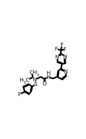 CC(C)N(CC(=O)NCc1ccnc(-c2cnc(C(F)(F)F)nc2)c1)Sc1ccc(F)cc1